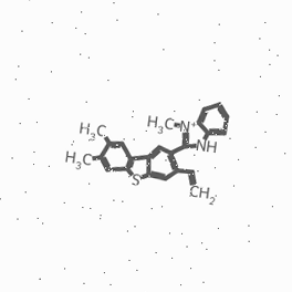 C=Cc1cc2sc3cc(C)c(C)cc3c2cc1-c1[nH]c2ccccc2[n+]1C